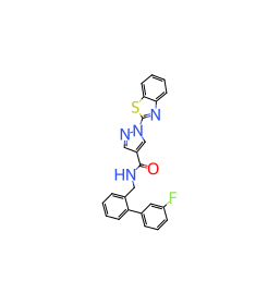 O=C(NCc1ccccc1-c1cccc(F)c1)c1cnn(-c2nc3ccccc3s2)c1